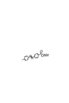 COC(=O)c1ccc(N=Nc2ccc(C)cc2)cc1